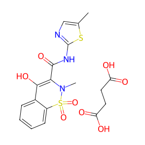 Cc1cnc(NC(=O)C2=C(O)c3ccccc3S(=O)(=O)N2C)s1.O=C(O)CCC(=O)O